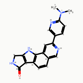 CN(C)c1ccc(-c2cc3c(ccc4c5c([nH]c43)CNC5=O)cn2)cn1